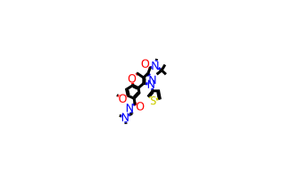 COc1cc2c(cc1C(=O)N=CN(C)C)-c1c(c(C(=O)N(C)C(C)(C)C)nn1-c1ccsc1)CO2